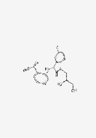 COC(=O)c1ccncc1NC1NN(CC(O)CO)c2ccc(F)cc21